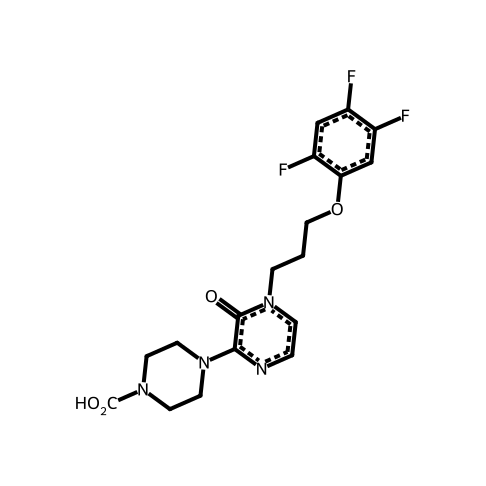 O=C(O)N1CCN(c2nccn(CCCOc3cc(F)c(F)cc3F)c2=O)CC1